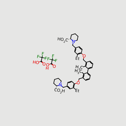 CCc1cc(CN2CCCC[C@H]2C(=O)O)ccc1OCc1cccc(-c2cccc(COc3ccc(CN4CCCC[C@H]4C(=O)O)cc3CC)c2C)c1C.O=C(O)C(F)(F)F.O=C(O)C(F)(F)F